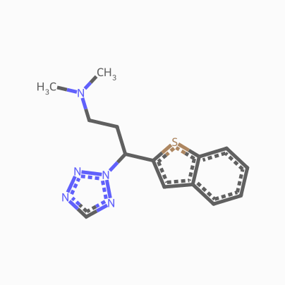 CN(C)CCC(c1cc2ccccc2s1)n1ncnn1